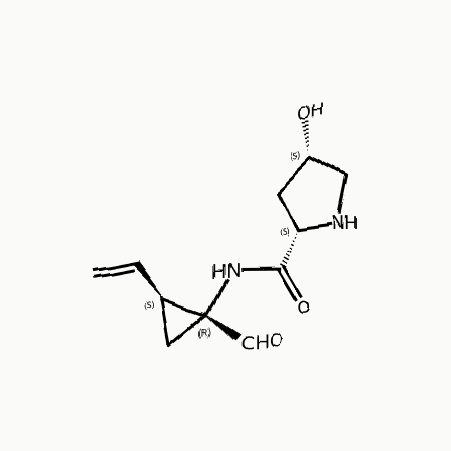 C=C[C@@H]1C[C@@]1(C=O)NC(=O)[C@@H]1C[C@H](O)CN1